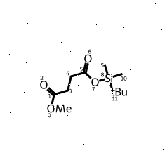 COC(=O)CCC(=O)O[Si](C)(C)C(C)(C)C